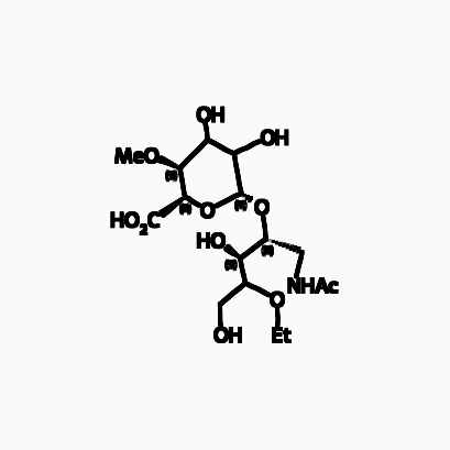 CCOC(CO)[C@@H](O)[C@@H](CNC(C)=O)O[C@@H]1O[C@@H](C(=O)O)[C@@H](OC)C(O)C1O